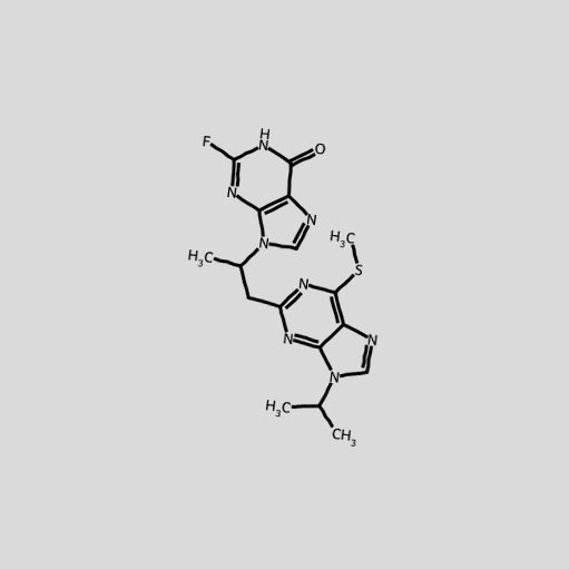 CSc1nc(CC(C)n2cnc3c(=O)[nH]c(F)nc32)nc2c1ncn2C(C)C